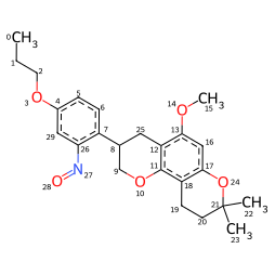 CCCOc1ccc(C2COc3c(c(OC)cc4c3CCC(C)(C)O4)C2)c(N=O)c1